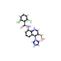 O=C(Nc1cccc2c(-n3ccnc3)c(CO)cnc12)c1c(Cl)cccc1Cl